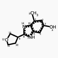 Cc1cc(O)cc2[nH]c(C3CCOC3)nc12